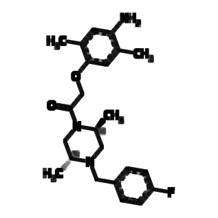 Cc1cc(OCC(=O)N2C[C@@H](C)N(Cc3ccc(F)cc3)C[C@@H]2C)c(C)cc1N